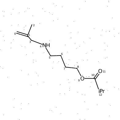 C=C(C)CNCCCCOC(=O)C(C)C